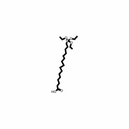 CCO[Si](CCCCCCCCCCCCCCCC(=O)O)(OCC)OCC